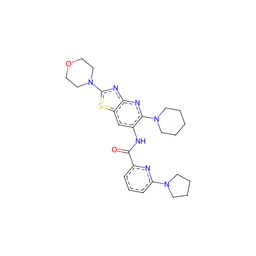 O=C(Nc1cc2sc(N3CCOCC3)nc2nc1N1CCCCC1)c1cccc(N2CCCC2)n1